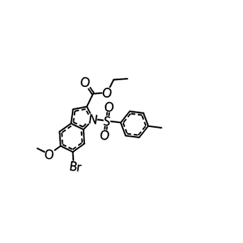 CCOC(=O)c1cc2cc(OC)c(Br)cc2n1S(=O)(=O)c1ccc(C)cc1